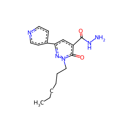 CCCCCCn1nc(-c2ccncc2)cc(C(=O)NN)c1=O